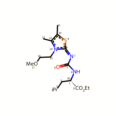 CCOC(=O)[C@H](CC(C)C)NC(=O)N=c1sc(C)c(C)n1CCOC